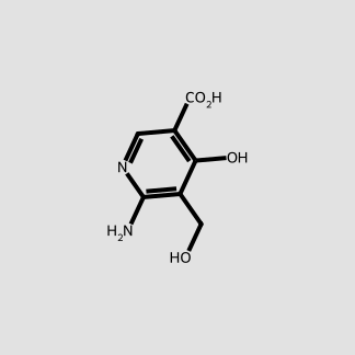 Nc1ncc(C(=O)O)c(O)c1CO